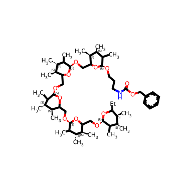 CCC1O[C@@H](OCC2O[C@H](OCC3O[C@H](OCC4O[C@H](OCC5O[C@@H](OCCCNC(=O)OCc6ccccc6)C(C)[C@@H](C)[C@@H]5C)C(C)[C@@H](C)[C@@H]4C)C(C)[C@@H](C)[C@@H]3C)C(C)[C@@H](C)[C@@H]2C)C(C)[C@@H](C)[C@@H]1C